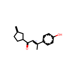 C=C1CCC(C(=O)/C=C(\C)c2ccc(O)cc2)C1